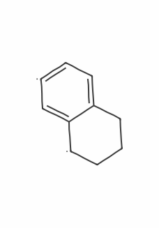 [c]1ccc2c(c1)[CH]CCC2